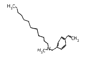 C=Cc1ccc(CN(C)CCCCCCCCCCCC)cc1